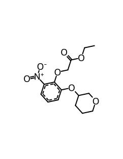 CCOC(=O)COc1c(OC2CCCOC2)cccc1[N+](=O)[O-]